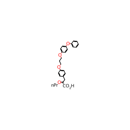 CCCO[C@@H](Cc1ccc(OCCCOc2ccc(Oc3ccccc3)cc2)cc1)C(=O)O